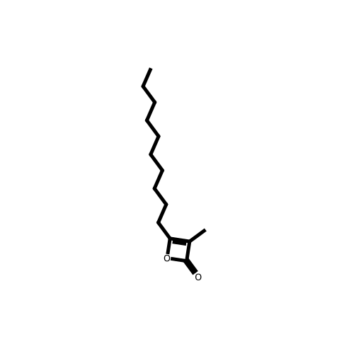 CCCCCCCCCCC1=C(C)C(=O)O1